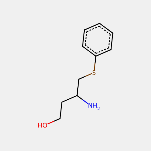 NC(CCO)CSc1ccccc1